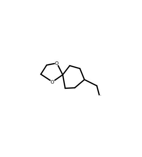 [CH2]CC1CCC2(CC1)OCCO2